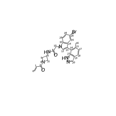 C=CC(=O)N1CC(NC(=O)Cn2cc(-c3c(C)ccc4cn[nH]c34)c3cc(Br)ccc32)C1